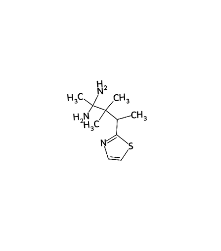 CC(c1nccs1)C(C)(C)C(C)(N)N